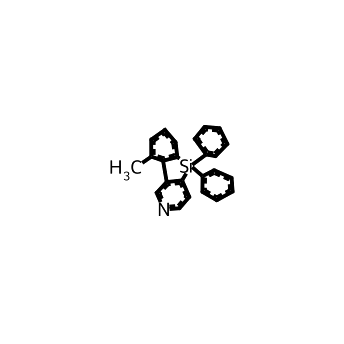 Cc1cccc2c1-c1cnccc1[Si]2(c1ccccc1)c1ccccc1